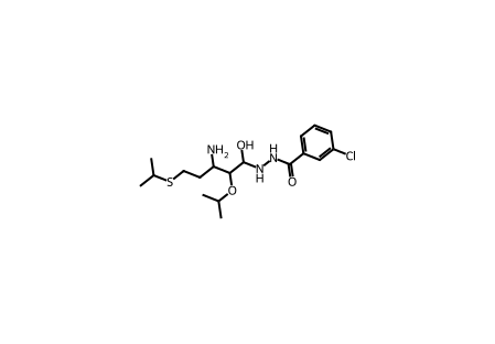 CC(C)OC(C(N)CCSC(C)C)C(O)NNC(=O)c1cccc(Cl)c1